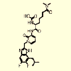 CC(C)Cc1c(F)c(F)cc2nc(Cn3cccc(NC(=O)C(CCC=CC(=O)N(C)C)NC(=O)O)c3=O)[nH]c12